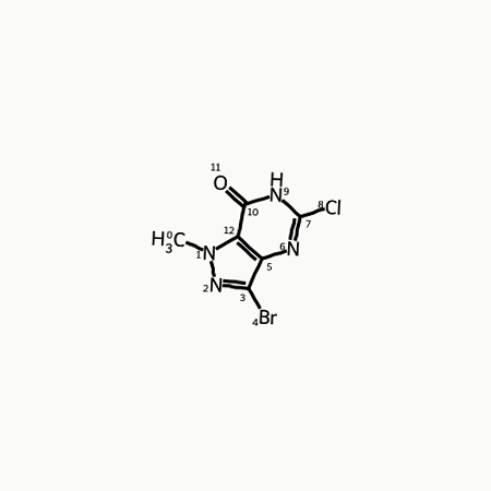 Cn1nc(Br)c2nc(Cl)[nH]c(=O)c21